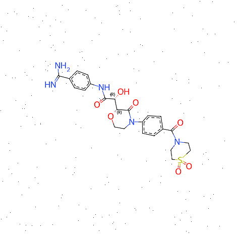 N=C(N)c1ccc(NC(=O)[C@H](O)[C@H]2OCCN(c3ccc(C(=O)N4CCS(=O)(=O)CC4)cc3)C2=O)cc1